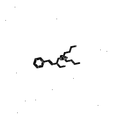 CCC[CH2][Sn]([CH2]CCC)[CH2]C(/C=C/c1ccccc1)CC